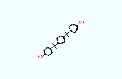 CC(C)(c1ccc(O)cc1)c1ccc(C(C)(C)c2ccc(O)cc2)cc1